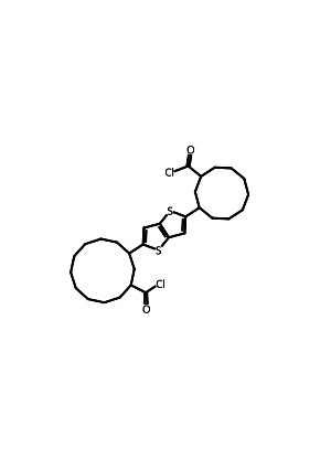 O=C(Cl)C1CCCCCCCCCC(c2cc3sc(C4CCCCCCCC(C(=O)Cl)C4)cc3s2)C1